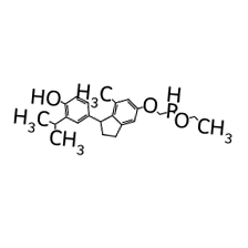 CCOPCOc1cc(C)c2c(c1)CCC2c1ccc(O)c(C(C)C)c1